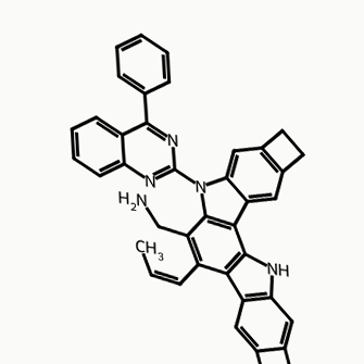 C/C=C\c1c(CN)c2c(c3cc4c(cc3n2-c2nc(-c3ccccc3)c3ccccc3n2)CC4)c2[nH]c3cc4c(cc3c12)CC4